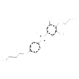 CCC(C)COc1c(Cl)cc(S(=O)(=O)c2ccc(OCCCCl)cc2)cc1Cl